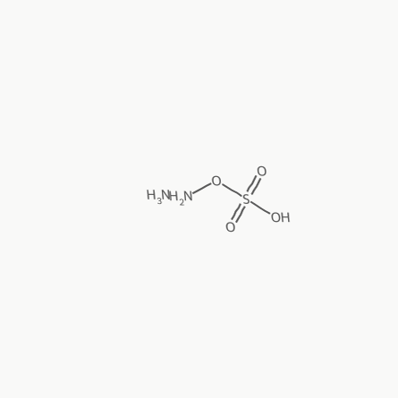 N.NOS(=O)(=O)O